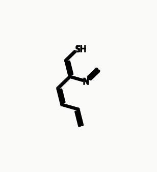 C=C/C=C\C(=C\S)N=C